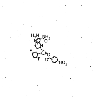 NC(=O)c1c(N)nn2ccc(N3C[C@@H](OC(=O)c4ccc([N+](=O)[O-])cc4)C[C@H]3c3cc(F)ccc3F)nc12